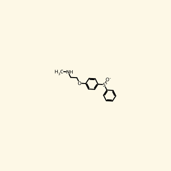 CNCCOc1ccc([S+]([O-])c2ccccc2)cc1